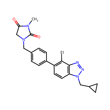 CCc1c(-c2ccc(CN3CC(=O)N(C)C3=O)cc2)ccc2c1nnn2CC1CC1